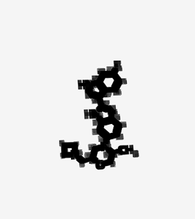 C[C@H]1CO[C@@H](CN2CCC2)CN1c1ccc2nc(-c3n[nH]c4cc(F)ccc34)[nH]c2c1